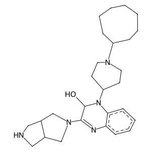 OC1C(N2CC3CNCC3C2)=Nc2ccccc2N1C1CCN(C2CCCCCCC2)CC1